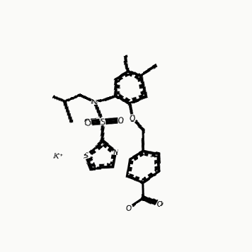 Cc1cc(OCc2ccc(C(=O)[O-])cc2)c(N(CC(C)C)S(=O)(=O)c2nccs2)cc1C.[K+]